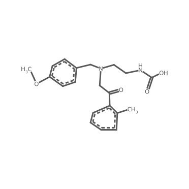 COc1ccc(CN(CCNC(=O)O)CC(=O)c2ccccc2C)cc1